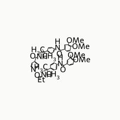 CCC(=O)NCC(C)(C)c1ccc(NC(=O)c2ccc(OC)c(OC)c2)cc1.COc1ccc(C(=O)Nc2ccc(C(C)(C)CNC(=O)c3ccncc3)cc2)cc1OC